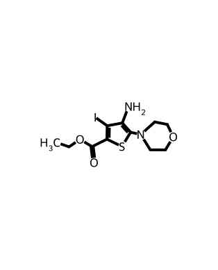 CCOC(=O)c1sc(N2CCOCC2)c(N)c1I